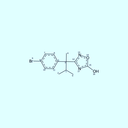 CC(C)C(C)(c1ccc(Br)cc1)c1noc(O)n1